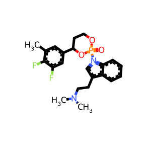 Cc1cc(C2CCOP(=O)(n3cc(CCN(C)C)c4ccccc43)O2)cc(F)c1F